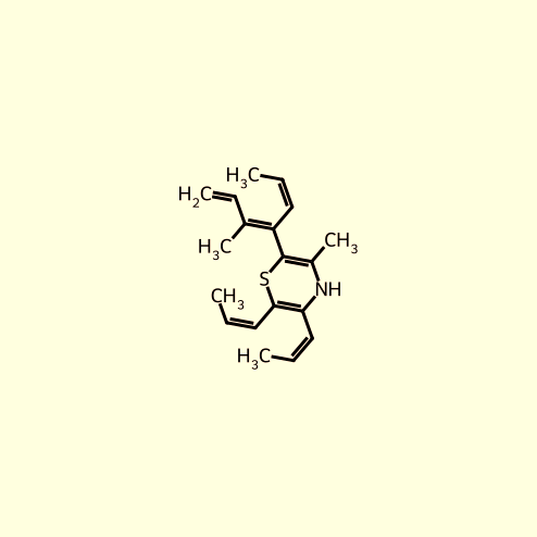 C=C/C(C)=C(\C=C/C)C1=C(C)NC(/C=C\C)=C(/C=C\C)S1